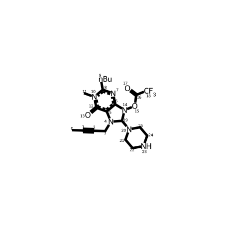 CC#CCN1c2c(nc(CCCC)n(C)c2=O)N(OC(=O)C(F)(F)F)C1N1CCNCC1